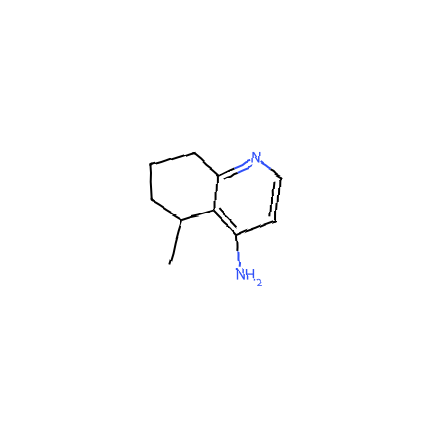 CC1CCCc2nccc(N)c21